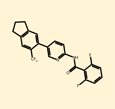 O=C(Nc1ccc(-c2cc3c(cc2C(F)(F)F)CCC3)cn1)c1c(F)cccc1F